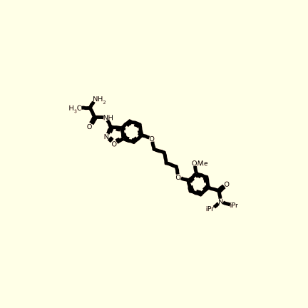 COc1cc(C(=O)N(C(C)C)C(C)C)ccc1OCCCCOc1ccc2c(NC(=O)C(C)N)noc2c1